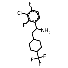 NC(CC1CCC(C(F)(F)F)CC1)c1ccc(F)c(Cl)c1F